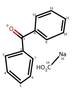 O=C(c1ccccc1)c1ccccc1.O=[C](O)[Na]